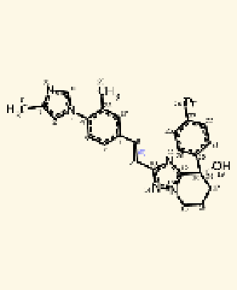 Cc1cn(-c2ccc(/C=C/c3nc4n(n3)CCC[C@]4(O)c3ccc(C(C)C)cc3)cc2C)cn1